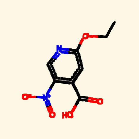 CCOc1cc(C(=O)O)c([N+](=O)[O-])cn1